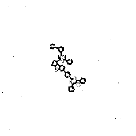 c1ccc(-c2cccc(-c3nc(-c4ccccc4)nc(-c4cccc5sc6cc(-c7ccc(-c8nc(-c9ccccc9)c9oc%10ccccc%10c9n8)cc7)ccc6c45)n3)c2)cc1